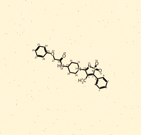 CC1=C(c2ccccc2)S(=O)(=O)N=C1N1CCC(NC(=O)COc2ccccc2)CC1